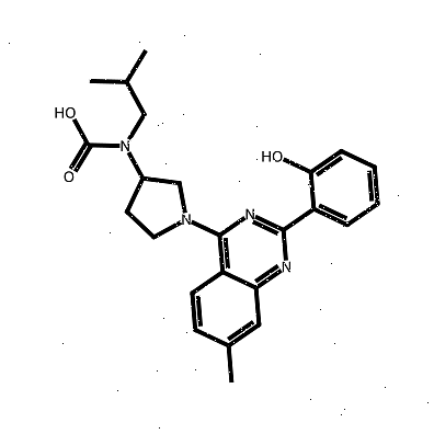 Cc1ccc2c(N3CCC(N(CC(C)C)C(=O)O)C3)nc(-c3ccccc3O)nc2c1